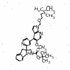 COc1cnc2c(ccn2COCCS(C)(C)C)c1-c1ccnc(C2(CNC(=O)OC(C)(C)C)Cc3ccccc3C2)c1